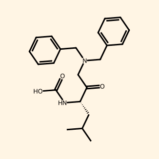 CC(C)C[C@H](NC(=O)O)C(=O)CN(Cc1ccccc1)Cc1ccccc1